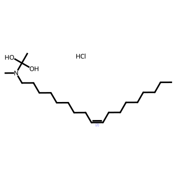 CCCCCCCC/C=C\CCCCCCCCN(C)C(C)(O)O.Cl